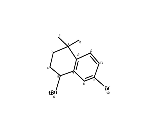 CC1(C)CCC(C(C)(C)C)c2cc(Br)ccc21